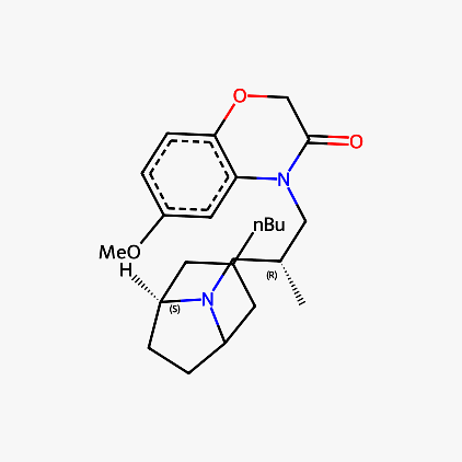 CCCCC1CC2CC[C@@H](C1)N2C[C@@H](C)CN1C(=O)COc2ccc(OC)cc21